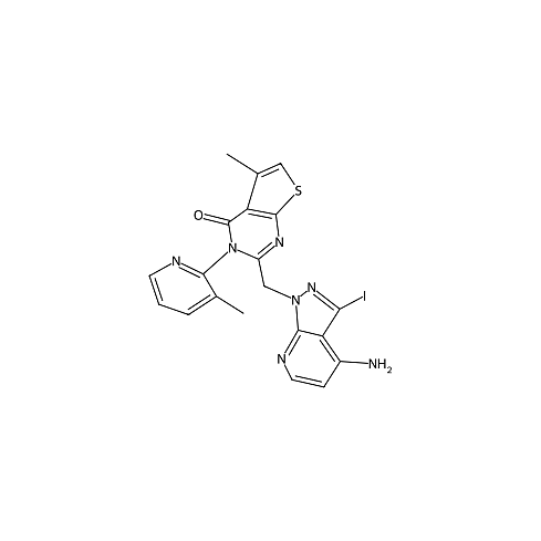 Cc1cccnc1-n1c(Cn2nc(I)c3c(N)ccnc32)nc2scc(C)c2c1=O